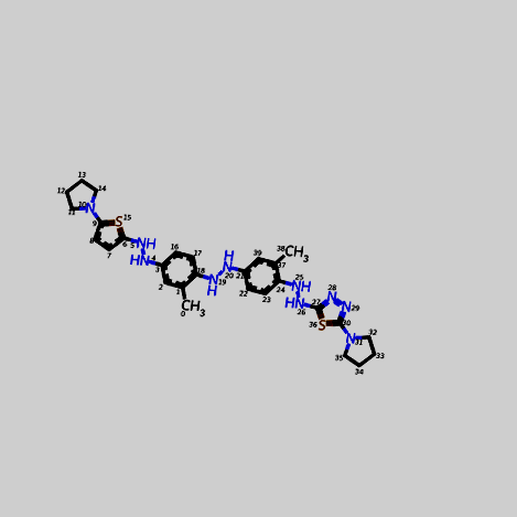 Cc1cc(NNc2ccc(N3CCCC3)s2)ccc1NNc1ccc(NNc2nnc(N3CCCC3)s2)c(C)c1